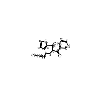 [N-]=[N+]=NCCC(C(=O)c1cnccn1)C(=O)c1cccs1